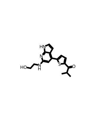 CC(C)C(=O)c1ccc(-c2cc(NCCO)nc3[nH]ccc23)s1